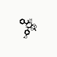 COc1ccc([C@H]2SC(c3ccccc3)=C(C)NC(=O)[C@@H]2OC(C)=O)cc1